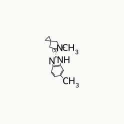 Cc1ccc2nc([C@@H]3CC4(CC4)CN3C)[nH]c2c1